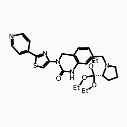 CCOC(OCC)(OCC)[C@H]1CCCN1Cc1ccc2c(c1)NC(=O)N(c1csc(-c3ccncc3)n1)C2